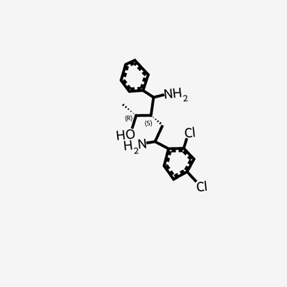 C[C@@H](O)[C@@H](CC(N)c1ccc(Cl)cc1Cl)C(N)c1ccccc1